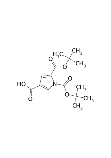 CC(C)(C)OC(=O)c1cc(C(=O)O)cn1C(=O)OC(C)(C)C